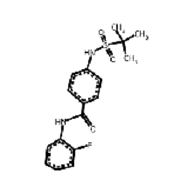 CC(C)(C)S(=O)(=O)Nc1ccc(C(=O)Nc2ccccc2F)cc1